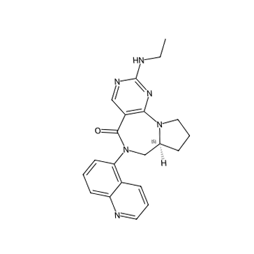 CCNc1ncc2c(n1)N1CCC[C@H]1CN(c1cccc3ncccc13)C2=O